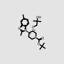 Cc1ccc2c(c1)nc(C)n2[C@@H]1CCN(C(=O)OC(C)(C)C)C[C@H]1OCC(C)(C)O